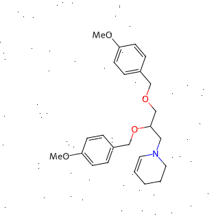 COc1ccc(COCC(CN2C=CCCC2)OCc2ccc(OC)cc2)cc1